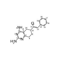 Nc1nc(N)c2c(n1)CCC(C(Cl)=Cc1ccccc1)C2